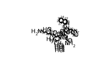 CC(C)C[C@H](NC(=O)[C@H](CCC(N)=O)NC(=O)[C@H](Cc1cccc2ccccc12)NC(=O)CN1CCOCC1)[C@@H](O)CC(=O)N[C@H](CO)CCCCN.Cl.Cl.Cl.Cl